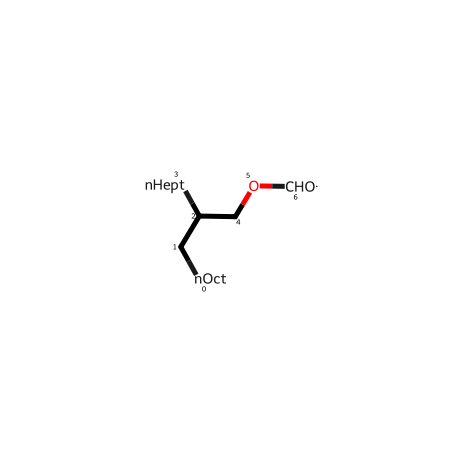 CCCCCCCCCC(CCCCCCC)CO[C]=O